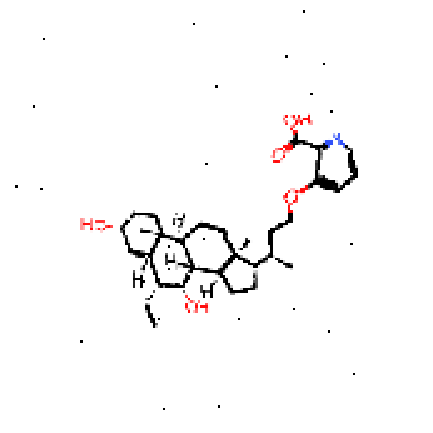 CC[C@H]1[C@@H](O)[C@@H]2[C@H](CC[C@]3(C)[C@@H]([C@H](C)CCOc4cccnc4C(=O)O)CC[C@@H]23)[C@@]2(C)CC[C@@H](O)C[C@@H]12